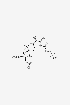 CSCO[C@]1(c2ccc(Cl)cc2)CCN(C(=O)[C@H](NC(=O)NCC(C)(C)O)C(C)C)CC1(C)C